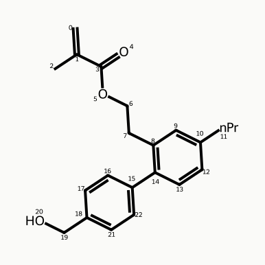 C=C(C)C(=O)OCCc1cc(CCC)ccc1-c1ccc(CO)cc1